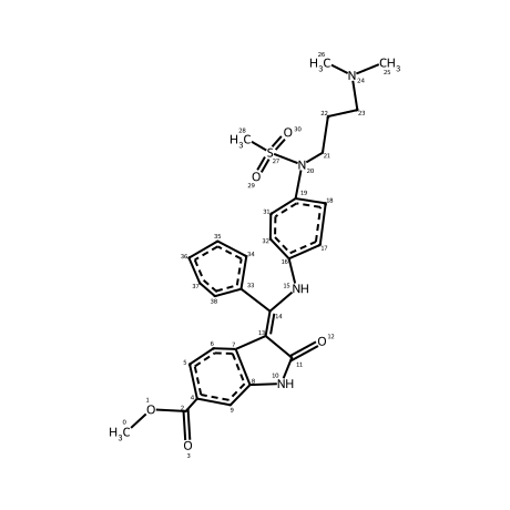 COC(=O)c1ccc2c(c1)NC(=O)/C2=C(\Nc1ccc(N(CCCN(C)C)S(C)(=O)=O)cc1)c1ccccc1